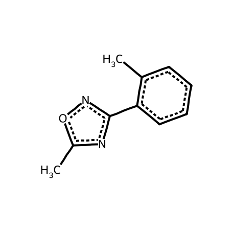 Cc1nc(-c2ccccc2C)no1